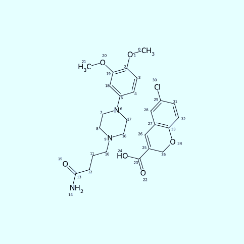 COc1ccc(N2CCN(CCCC(N)=O)CC2)cc1OC.O=C(O)C1=Cc2cc(Cl)ccc2OC1